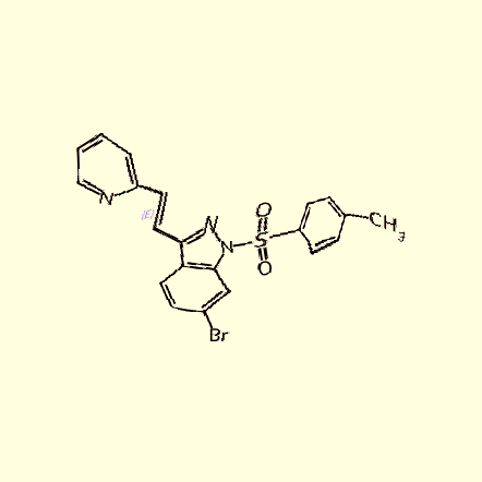 Cc1ccc(S(=O)(=O)n2nc(/C=C/c3ccccn3)c3ccc(Br)cc32)cc1